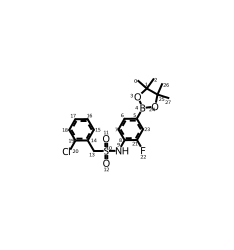 CC1(C)OB(c2ccc(NS(=O)(=O)Cc3ccccc3Cl)c(F)c2)OC1(C)C